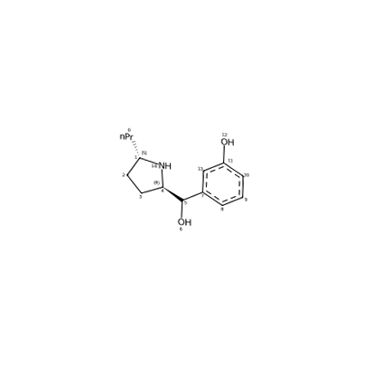 CCC[C@H]1CC[C@H](C(O)c2cccc(O)c2)N1